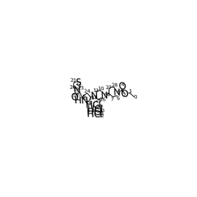 CCOC(=O)N1CCC(N2CCN([C@@H]3CN[C@H](C(=O)N4CCSC4)C3)CC2)CC1.Cl.Cl.Cl.Cl